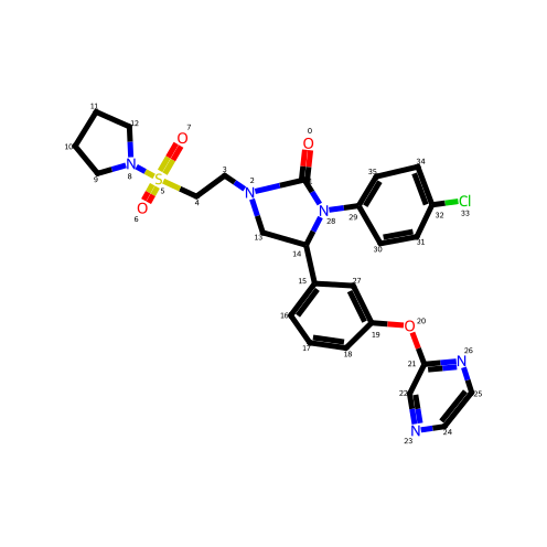 O=C1N(CCS(=O)(=O)N2CCCC2)CC(c2cccc(Oc3cnccn3)c2)N1c1ccc(Cl)cc1